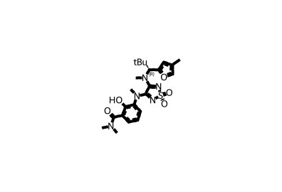 Cc1coc([C@H](N(C)C2=NS(=O)(=O)N=C2N(C)c2cccc(C(=O)N(C)C)c2O)C(C)(C)C)c1